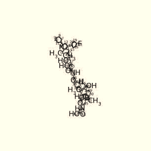 CC(C)c1nc(-c2ccccc2)cc(-c2ccc(F)cc2)c1/C=C/C[C@@H](O)C[C@@H](O)CC(=O)NCCO[C@H]1CC[C@]2(C)C3C[C@H](O)[C@@]4(C)C(CC[C@@H]4[C@H](C)CCC(=O)NCC(=O)O)C3[C@H](O)C[C@@H]2C1